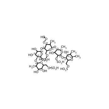 CC1[C@@H](O[C@@H]2C(C(=O)O)O[C@@H](O[C@@H]3C(COS(=O)(=O)O)O[C@H](O[C@H]4C(O)C(OS(=O)(=O)O)[C@H](O[C@@H]5C(COS(=O)(=O)O)O[C@H](C)C(C)[C@H]5O)O[C@H]4C)C(C)[C@H]3OOO)C(O)[C@H]2O)OC(COS(=O)(=O)O)[C@@H](O)[C@@H]1O